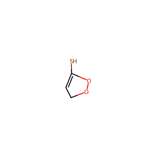 SC1=CCOO1